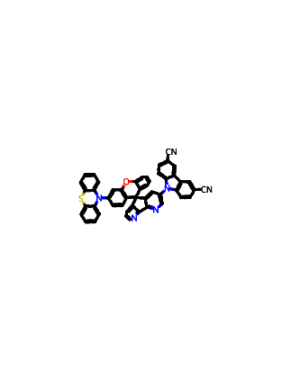 N#Cc1ccc2c(c1)c1cc(C#N)ccc1n2-c1cnc2c(c1)C1(c3ccccc3Oc3cc(N4c5ccccc5Sc5ccccc54)ccc31)c1cccnc1-2